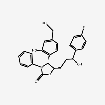 O=C1O[C@H](CC[C@H](O)c2ccc(F)cc2)[C@@H](c2ccc(CO)cc2O)N1c1ccccc1